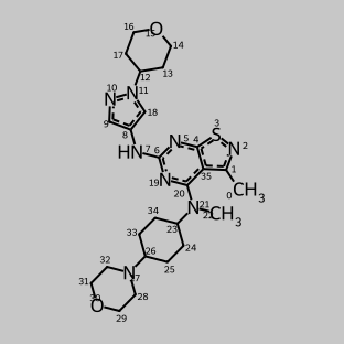 Cc1nsc2nc(Nc3cnn(C4CCOCC4)c3)nc(N(C)C3CCC(N4CCOCC4)CC3)c12